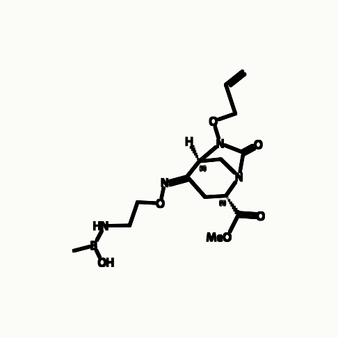 C=CCON1C(=O)N2C[C@H]1C(=NOCCNB(C)O)C[C@H]2C(=O)OC